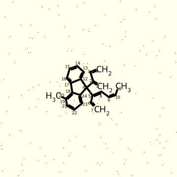 C=CC(=C)C1(/C(C=C)=C/C=C\C)c2ccccc2-c2c(C)cccc21